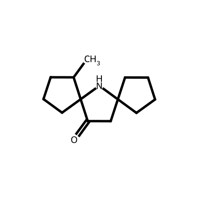 CC1CCCC12NC1(CCCC1)CC2=O